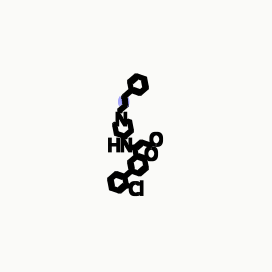 O=c1cc(NC2CCN(C/C=C/c3ccccc3)CC2)c2cc(-c3ccccc3Cl)ccc2o1